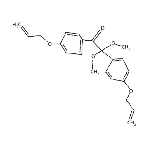 C=CCOc1ccc(C(=O)C(OC)(OC)c2ccc(OCC=C)cc2)cc1